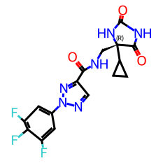 O=C1NC(=O)[C@](CNC(=O)c2cnn(-c3cc(F)c(F)c(F)c3)n2)(C2CC2)N1